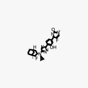 Cn1cc(F)c(-c2ccc(-c3ncc(N(C4CC4)[C@H]4C[C@@H]5CCC[C@@](C)(C5)[C@H]4F)nn3)c(O)c2)nc1=O